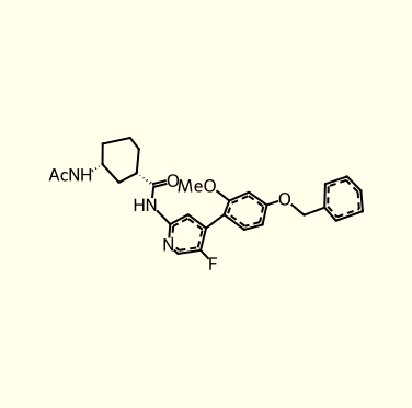 COc1cc(OCc2ccccc2)ccc1-c1cc(NC(=O)[C@H]2CCC[C@@H](NC(C)=O)C2)ncc1F